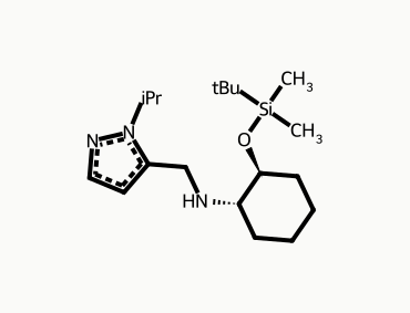 CC(C)n1nccc1CN[C@H]1CCCC[C@@H]1O[Si](C)(C)C(C)(C)C